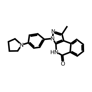 Cc1nn(-c2ccc(N3CCCC3)cc2)c2[nH]c(=O)c3ccccc3c12